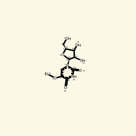 CCOc1cn([C@H]2O[C@@H](CO)C(O)C2O)c(=O)[nH]c1=O